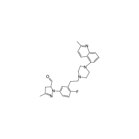 CC1=NN(c2ccc(F)c(CCN3CCN(c4cccc5nc(C)ccc45)CC3)c2)C(C=O)C1